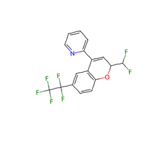 FC(F)C1C=C(c2ccccn2)c2cc(C(F)(F)C(F)(F)F)ccc2O1